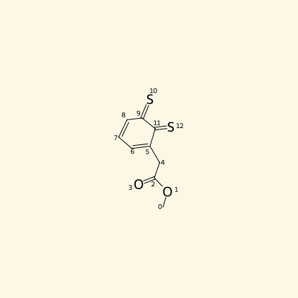 COC(=O)CC1=CC=CC(=S)C1=S